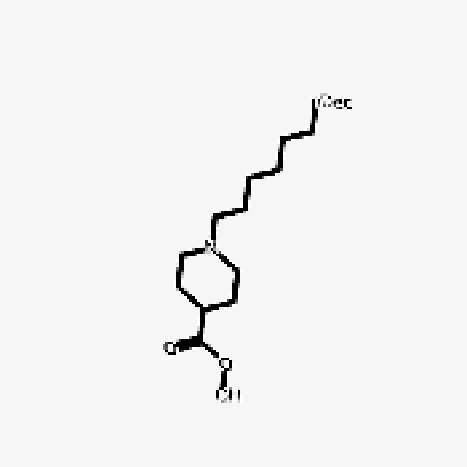 CCCCCCCCCCCCCCCCN1CCC(C(=O)OO)CC1